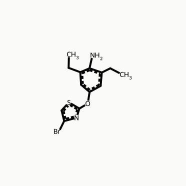 CCc1cc(Oc2nc(Br)cs2)cc(CC)c1N